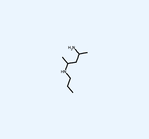 CCCNC(C)CC(C)N